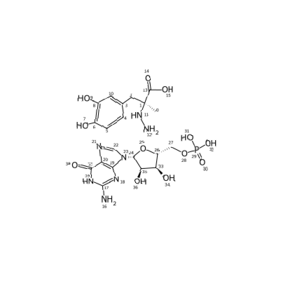 C[C@@](Cc1ccc(O)c(O)c1)(NN)C(=O)O.Nc1nc2c(ncn2[C@@H]2O[C@H](COP(=O)(O)O)[C@@H](O)[C@H]2O)c(=O)[nH]1